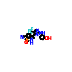 CP(C)(=O)c1c(C#N)ccc2c(-c3nc(N[C@H]4CCC[C@@H](O)C4)ncc3C(F)(F)F)c[nH]c12